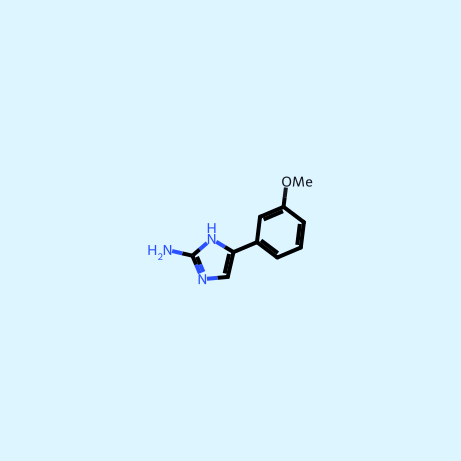 COc1cccc(-c2cnc(N)[nH]2)c1